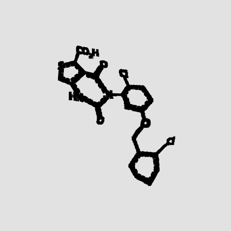 O=C(O)c1scc2[nH]c(=O)n(-c3cc(OCc4ccccc4Cl)ccc3Cl)c(=O)c12